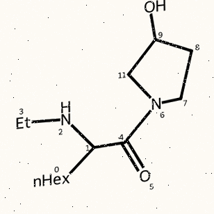 CCCCCCC(NCC)C(=O)N1CCC(O)C1